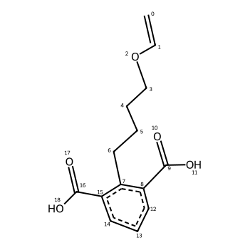 C=COCCCCc1c(C(=O)O)cccc1C(=O)O